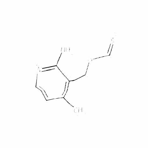 Cc1ccnc(N)c1COC=S